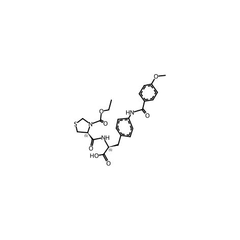 CCOC(=O)N1CSC[C@@H]1C(=O)N[C@@H](Cc1ccc(NC(=O)c2ccc(OC)cc2)cc1)C(=O)O